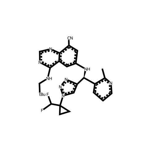 Cc1ncccc1[C@H](Nc1cc(C#N)c2ncnc(NCC(C)(C)C)c2c1)c1cn(C2(C(F)F)CC2)nn1